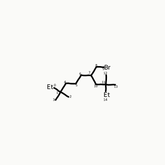 CCC(C)(C)CCCC(CBr)CC(C)(C)CC